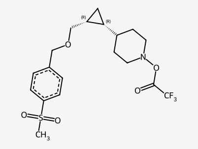 CS(=O)(=O)c1ccc(COC[C@@H]2C[C@@H]2C2CCN(OC(=O)C(F)(F)F)CC2)cc1